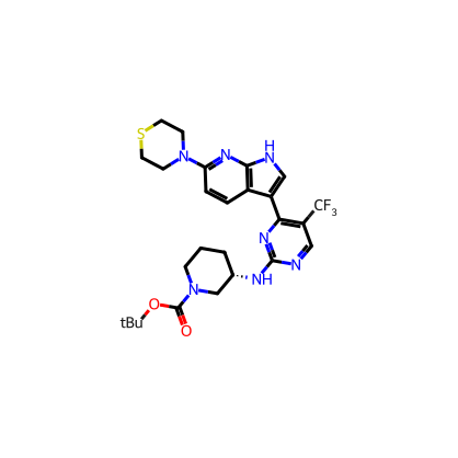 CC(C)(C)OC(=O)N1CCC[C@H](Nc2ncc(C(F)(F)F)c(-c3c[nH]c4nc(N5CCSCC5)ccc34)n2)C1